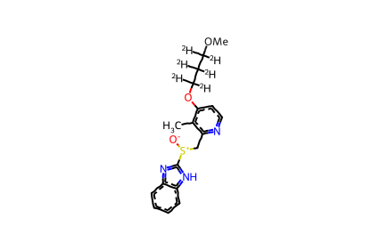 [2H]C([2H])(OC)C([2H])([2H])C([2H])([2H])Oc1ccnc(C[S+]([O-])c2nc3ccccc3[nH]2)c1C